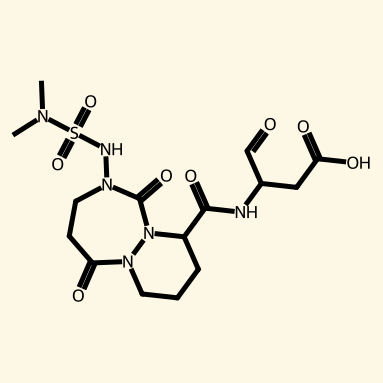 CN(C)S(=O)(=O)NN1CCC(=O)N2CCCC(C(=O)NC(C=O)CC(=O)O)N2C1=O